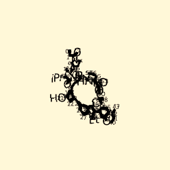 C=CC(=O)N1CC[C@H](C(=O)N(C)C(C(=O)N[C@H]2Cc3cc(O)cc(c3)-c3ccc4c(c3)c(c(-c3ccc5c(c3)OCCN5C)n4CC)CC(C)(C)COC(=O)[C@@H]3CCCN(N3)C2=O)C(C)C)C1